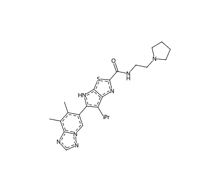 Cc1c(-c2[nH]c3sc(C(=O)NCCN4CCCC4)nc3c2C(C)C)cn2ncnc2c1C